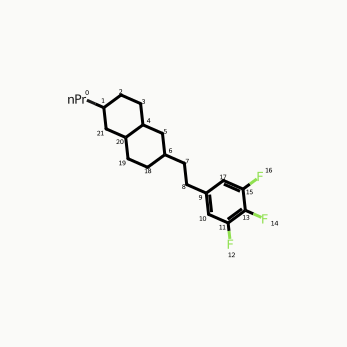 CCCC1CCC2CC(CCc3cc(F)c(F)c(F)c3)CCC2C1